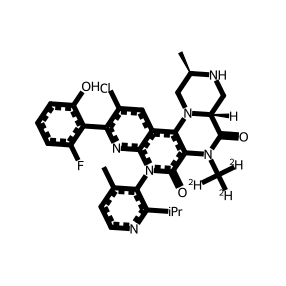 [2H]C([2H])([2H])N1C(=O)[C@H]2CN[C@H](C)CN2c2c1c(=O)n(-c1c(C)ccnc1C(C)C)c1nc(-c3c(O)cccc3F)c(Cl)cc21